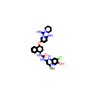 CC(C)(C)C(=N)/C=C(/NC(=O)NC1CCC(Oc2ccc(=N)n(C(=N)N3CCCCC3)c2)c2ccccc21)Nc1ccc(O)c(Cl)c1